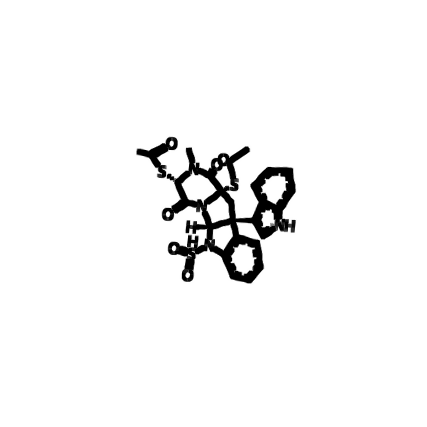 CC(=O)S[C@H]1C(=O)N2[C@H]3N([SH](=O)=O)c4ccccc4[C@@]3(c3c[nH]c4ccccc34)C[C@]2(SC(C)=O)C(=O)N1C